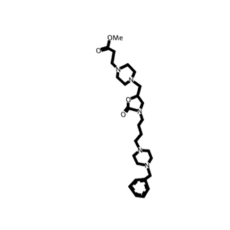 COC(=O)CCN1CCN(CC2CN(CCCCN3CCN(Cc4ccccc4)CC3)C(=O)O2)CC1